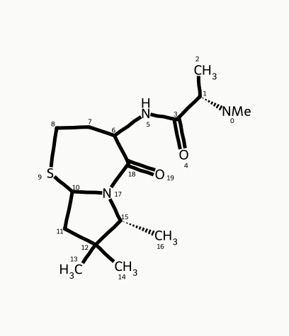 CN[C@@H](C)C(=O)NC1CCSC2CC(C)(C)[C@@H](C)N2C1=O